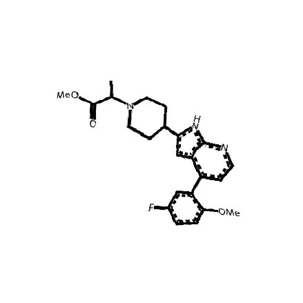 COC(=O)C(C)N1CCC(c2cc3c(-c4cc(F)ccc4OC)ccnc3[nH]2)CC1